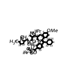 COc1ccc2c(c1)C=C(c1c(C(=O)N(C)CC3CCC(C)N3C)cnn1C(C)C)Cn1c-2c(C2CCCCC2)c2ccc(C(=O)NS(=O)(=O)C(C)C)cc21